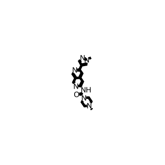 CN1CCN(C(=O)Nc2cc3cc(-c4cnn(C)c4)ncc3cn2)CC1